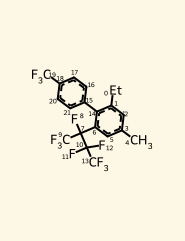 CCc1[c]c(C)cc(C(F)(C(F)(F)F)C(F)(F)C(F)(F)F)c1-c1ccc(C(F)(F)F)cc1